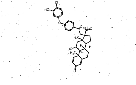 C[C@]12C=CC(=O)C=C1CC[C@H]1[C@@H]3CC[C@@](OC(=O)c4ccc(Oc5ccc(Cl)c(O)c5)cc4)(C(=O)O)[C@@]3(C)C[C@H](O)C12F